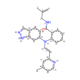 C=C(C)CNC(=O)c1ccccc1N(/C=C/c1cc(C)ccn1)c1ccc2cn[nH]c2c1